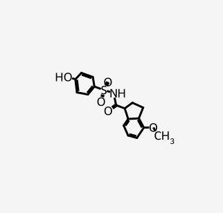 COc1cccc2c1CCC2C(=O)NS(=O)(=O)c1ccc(O)cc1